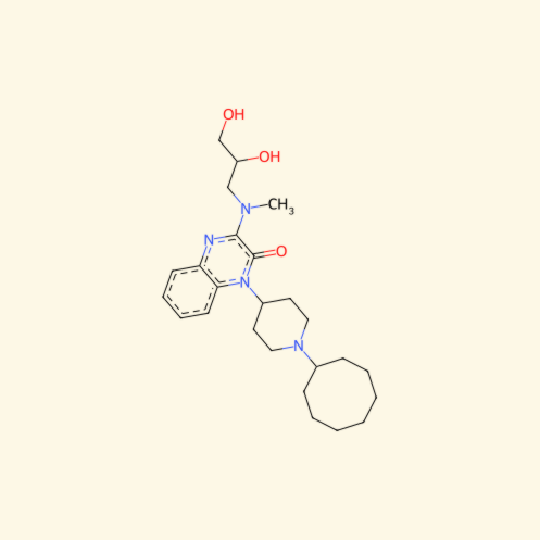 CN(CC(O)CO)c1nc2ccccc2n(C2CCN(C3CCCCCCC3)CC2)c1=O